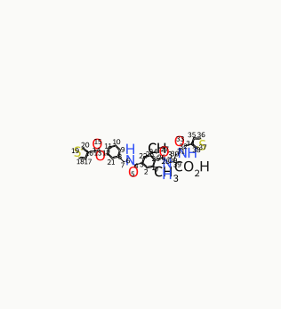 Cc1cc(C(=O)NCc2cccc(OC(=O)c3ccsc3)c2)cc(C)c1C(=O)N[C@@H](CNC(=O)c1ccsc1)C(=O)O